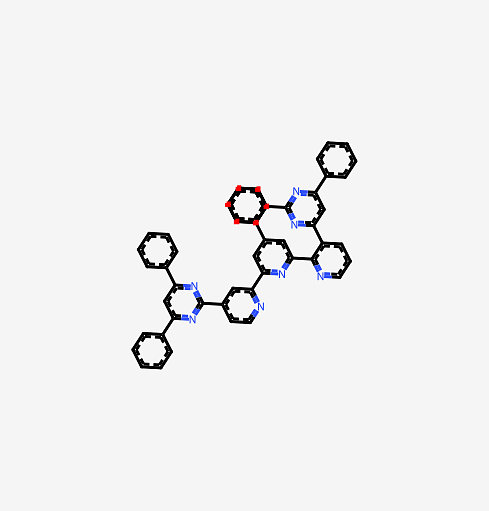 c1ccc(-c2cc(-c3cc(-c4nc(-c5ccccc5)cc(-c5ccccc5)n4)ccn3)nc(-c3ncccc3-c3cc(-c4ccccc4)nc(-c4ccccc4)n3)c2)cc1